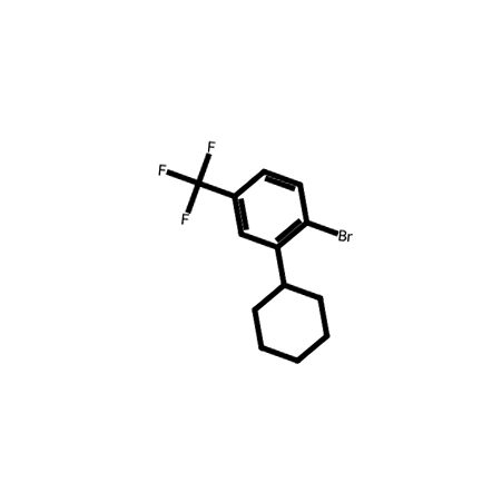 FC(F)(F)c1ccc(Br)c(C2CCCCC2)c1